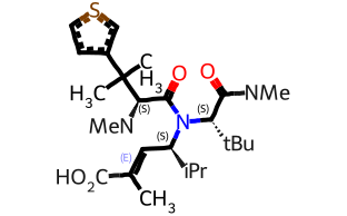 CNC(=O)[C@@H](N(C(=O)[C@@H](NC)C(C)(C)c1ccsc1)[C@H](/C=C(\C)C(=O)O)C(C)C)C(C)(C)C